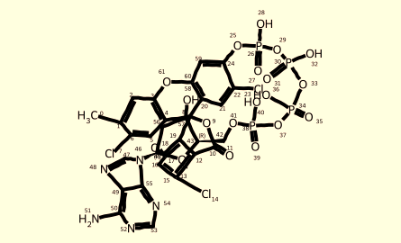 Cc1cc2c(cc1Cl)C1(OC(=O)c3c(Cl)ccc(Cl)c31)c1cc(Cl)c(OP(=O)(O)OP(=O)(O)OP(=O)(O)OP(=O)(O)OC[C@H]3O[C@@H](n4cnc5c(N)ncnc54)CC3O)cc1O2